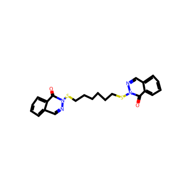 O=c1c2ccccc2cnn1SCCCCCCSn1ncc2ccccc2c1=O